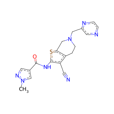 Cn1cc(C(=O)Nc2sc3c(c2C#N)CCN(Cc2cnccn2)C3)cn1